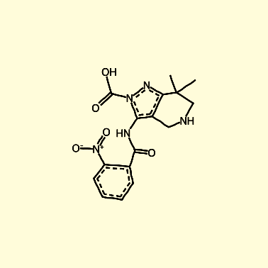 CC1(C)CNCc2c1nn(C(=O)O)c2NC(=O)c1ccccc1[N+](=O)[O-]